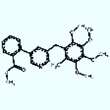 COC(=O)c1ccccc1-c1cncc(Cc2c(C)c(OC)c(OC)c(OC)c2OC)c1